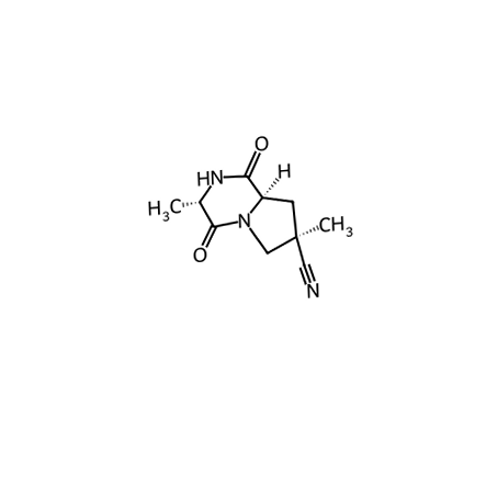 C[C@@H]1NC(=O)[C@H]2C[C@@](C)(C#N)CN2C1=O